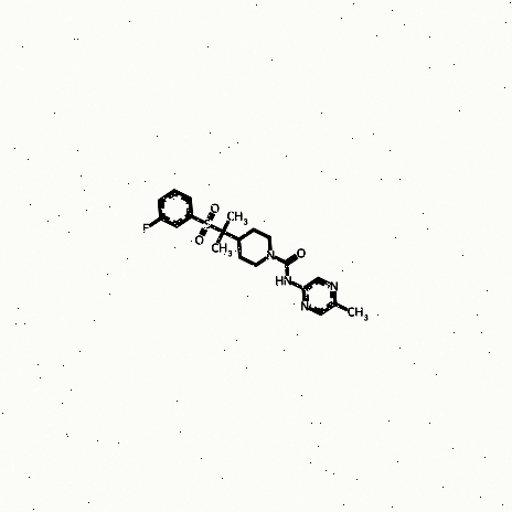 Cc1cnc(NC(=O)N2CCC(C(C)(C)S(=O)(=O)c3cccc(F)c3)CC2)cn1